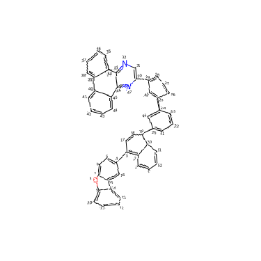 C1=CC2=C(c3ccc4oc5ccccc5c4c3)C=CC(c3cccc(-c4cccc(-c5cnc6c7ccccc7c7ccccc7c6n5)c4)c3)C2C=C1